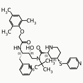 Cc1cc(C)c(OCC(=O)N[C@@H](Cc2ccccc2)[C@H](O)CN(C(=O)[C@@H]2C[C@H](Sc3ccncc3)CCN2)C(C)(C)C)c(C)c1